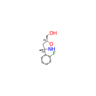 C[C@@]1(c2ccccc2F)C[C@@H](CO)ON1